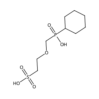 O=P(O)(COCCS(=O)(=O)O)C1CCCCC1